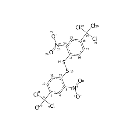 O=[N+]([O-])c1cc(C(Cl)(Cl)Cl)ccc1SSc1ccc(C(Cl)(Cl)Cl)cc1[N+](=O)[O-]